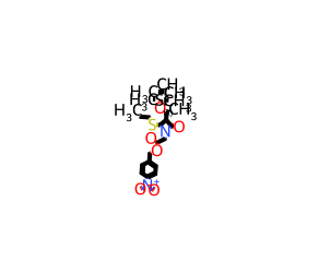 CCCSC1C([C@@H](C)O[Si](C)(C)C(C)(C)C)C(=O)N1CC(=O)OCc1ccc([N+](=O)[O-])cc1